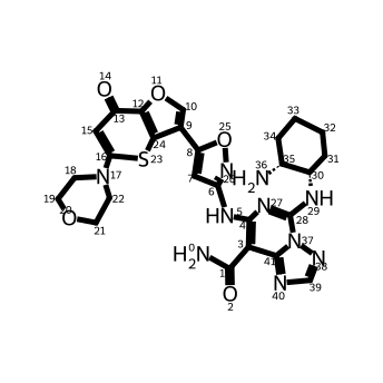 NC(=O)c1c(Nc2cc(-c3coc4c(=O)cc(N5CCOCC5)sc34)on2)nc(N[C@H]2CCCC[C@H]2N)n2ncnc12